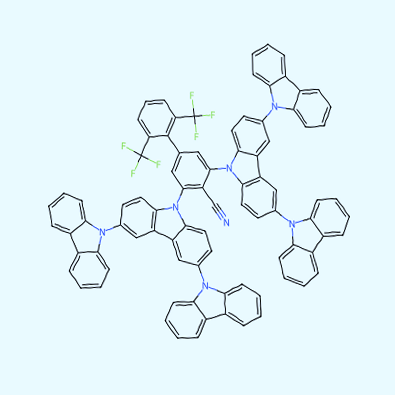 N#Cc1c(-n2c3ccc(-n4c5ccccc5c5ccccc54)cc3c3cc(-n4c5ccccc5c5ccccc54)ccc32)cc(-c2c(C(F)(F)F)cccc2C(F)(F)F)cc1-n1c2ccc(-n3c4ccccc4c4ccccc43)cc2c2cc(-n3c4ccccc4c4ccccc43)ccc21